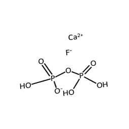 O=P([O-])(O)OP(=O)(O)O.[Ca+2].[F-]